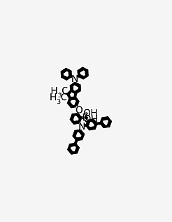 CC1(C)c2ccc(Oc3cccc(N(c4ccc(-c5ccccc5)cc4)c4ccc(-c5ccccc5)cc4)c3B(O)O)cc2-c2ccc(N(c3ccccc3)c3ccccc3)cc21